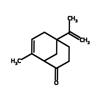 C=C(C)C12CC=C(C)C(C1)C(=O)CC2